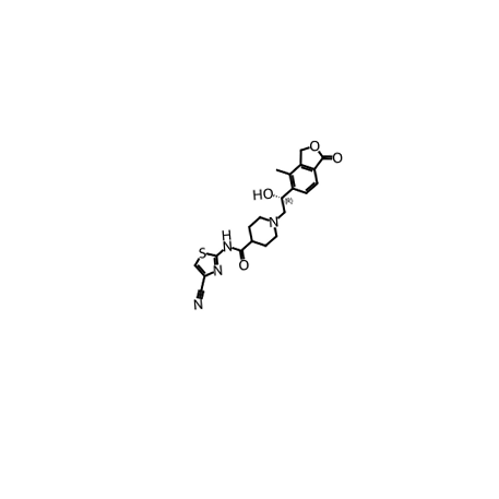 Cc1c([C@@H](O)CN2CCC(C(=O)Nc3nc(C#N)cs3)CC2)ccc2c1COC2=O